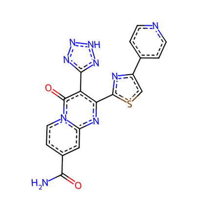 NC(=O)c1ccn2c(=O)c(-c3nn[nH]n3)c(-c3nc(-c4ccncc4)cs3)nc2c1